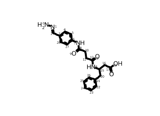 NN=Cc1ccc(NC(=O)CCC(=O)NC(CC(=O)O)Cc2ccccc2)cc1